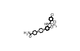 CC(Nc1cc(N2CCN(C3CCC(C(N)=O)CC3)CC2)ccc1Cl)c1ccc(Cl)cc1Cl